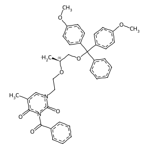 [CH2][C@@H](COC(c1ccccc1)(c1ccc(OC)cc1)c1ccc(OC)cc1)OCCn1cc(C)c(=O)n(C(=O)c2ccccc2)c1=O